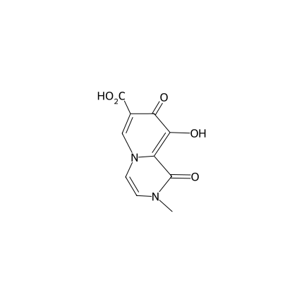 Cn1ccn2cc(C(=O)O)c(=O)c(O)c2c1=O